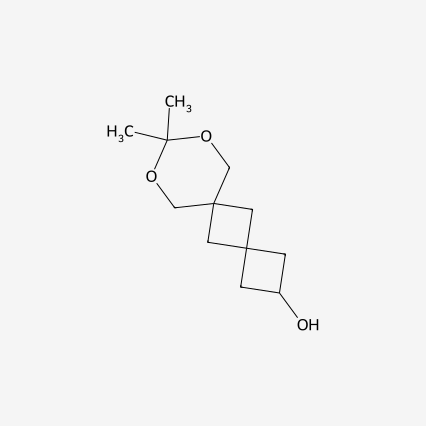 CC1(C)OCC2(CO1)CC1(CC(O)C1)C2